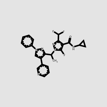 CC(c1nn(-c2ccccc2)cc1-c1cccnc1)n1nc(C(F)F)c(C(=O)NC2CC2)c1F